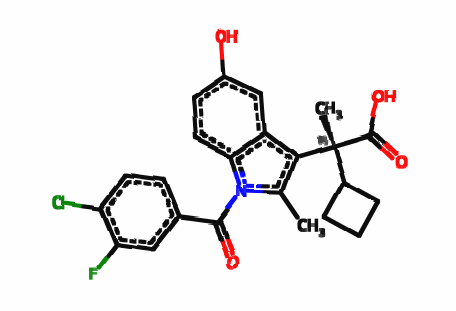 Cc1c([C@](C)(C(=O)O)C2CCC2)c2cc(O)ccc2n1C(=O)c1ccc(Cl)c(F)c1